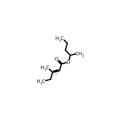 CCCC(C)OC(=O)/C=C(\C)CC